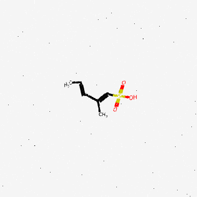 CC=CC(C)=CS(=O)(=O)O